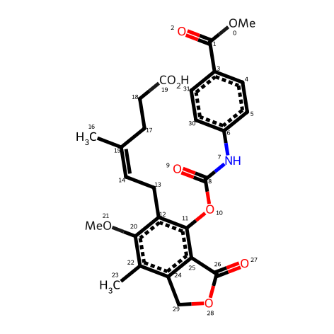 COC(=O)c1ccc(NC(=O)Oc2c(CC=C(C)CCC(=O)O)c(OC)c(C)c3c2C(=O)OC3)cc1